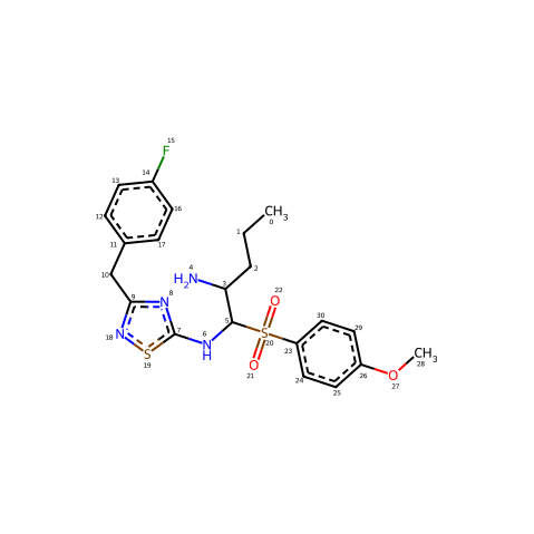 CCCC(N)C(Nc1nc(Cc2ccc(F)cc2)ns1)S(=O)(=O)c1ccc(OC)cc1